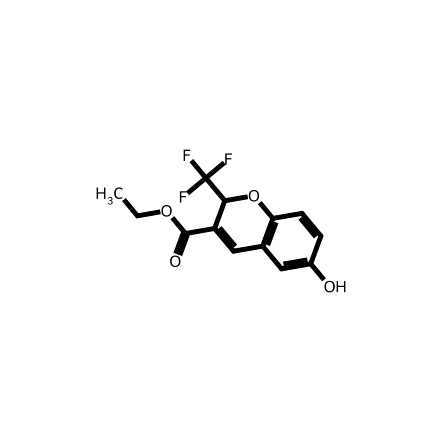 CCOC(=O)C1=Cc2cc(O)ccc2OC1C(F)(F)F